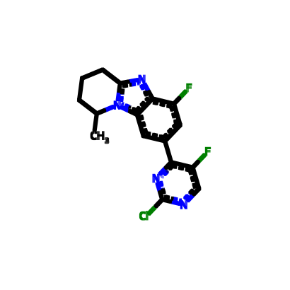 CC1CCCc2nc3c(F)cc(-c4nc(Cl)ncc4F)cc3n21